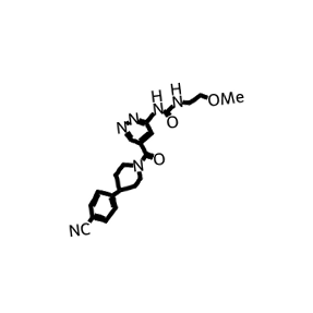 COCCNC(=O)Nc1cc(C(=O)N2CCC(c3ccc(C#N)cc3)CC2)cnn1